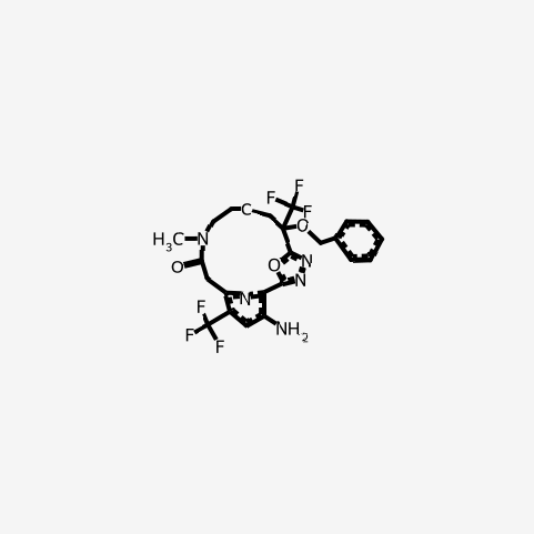 CN1CCCCC(OCc2ccccc2)(C(F)(F)F)c2nnc(o2)-c2nc(c(C(F)(F)F)cc2N)CC1=O